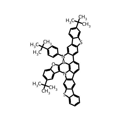 CC(C)(C)c1ccc(N2B3c4oc5ccc(C(C)(C)C)cc5c4-n4c5cc6sc7ccccc7c6cc5c5ccc(c3c54)-c3cc4sc5cc(C(C)(C)C)ccc5c4cc32)cc1